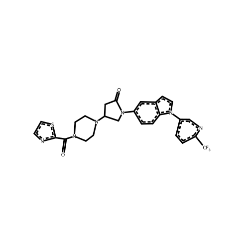 O=C(c1nccs1)N1CCN(C2CC(=O)N(c3ccc4c(ccn4-c4ccc(C(F)(F)F)nc4)c3)C2)CC1